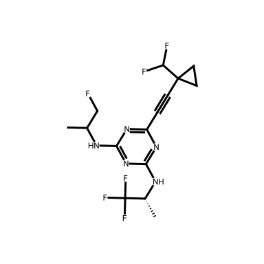 CC(CF)Nc1nc(C#CC2(C(F)F)CC2)nc(N[C@H](C)C(F)(F)F)n1